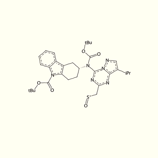 CC(C)c1cnn2c(N(C(=O)OC(C)(C)C)[C@@H]3CCc4c(c5ccccc5n4C(=O)OC(C)(C)C)C3)nc(C[S+]=O)nc12